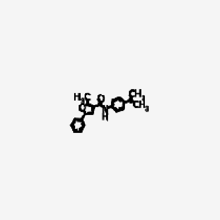 C[C](C)c1ccc(NC(=O)c2cc(-c3ccccc3)oc2C)cc1